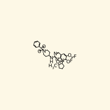 C[C@@]1(O)CCC[C@H]1n1c(=O)c(OC(F)F)cc2cnc(NC3CCN(S(=O)(=O)c4ccccc4)CC3)nc21